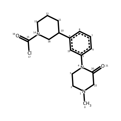 CN1CCN(c2cccc(C3CCCN(C(=O)Cl)C3)c2)C(=O)C1